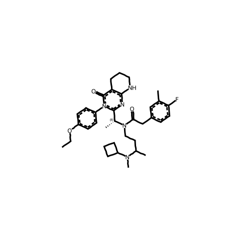 CCOc1ccc(-n2c([C@@H](C)N(CCC(C)N(C)C3CCC3)C(=O)Cc3ccc(F)c(C)c3)nc3c(c2=O)CCCN3)cc1